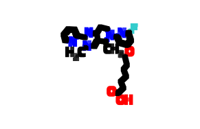 C=N/C=C1\C(=N/Cc2ccccn2)CCN(c2cc(OCCCCCCC(=O)O)cc(F)n2)C1C